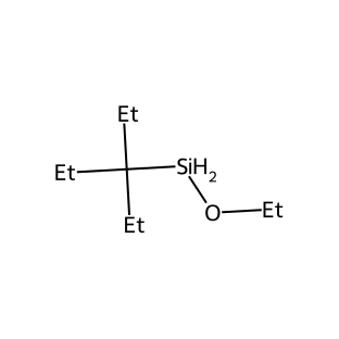 CCO[SiH2]C(CC)(CC)CC